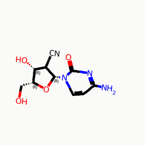 N#CC1[C@@H](O)[C@@H](CO)O[C@H]1n1ccc(N)nc1=O